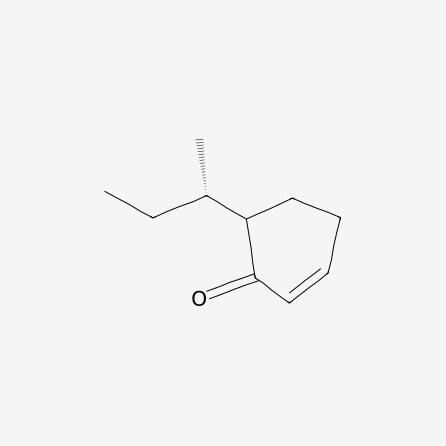 CC[C@H](C)C1CCC=CC1=O